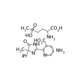 CC(C)C1(C)N=C(c2ncccc2C(=O)O)NC1=O.CP(=O)(O)CCC(N)C(=O)O.N